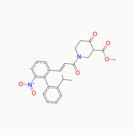 COC(=O)C1CN(C(=O)/C=C/c2cc[c]c([N+](=O)[O-])c2-c2ccccc2C(C)C)CCC1=O